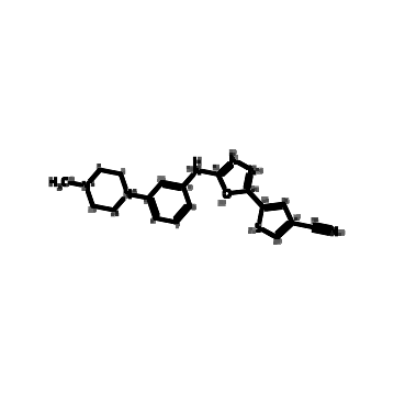 CN1CCN(c2cccc(Nc3nnc(-c4cc(C#N)cs4)o3)c2)CC1